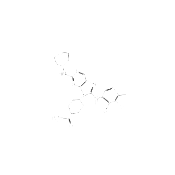 Cc1ccc(Nc2nc3cnc(NC4CCOCC4)nc3n2[C@H]2CC[C@@H](C(N)=O)CC2)c(Cl)c1Cl